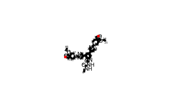 CCNC(=O)Nc1nc2cc(-c3cnc(N4CCC(CC)(C(=O)OCC)CC4)nc3)cc(-c3cnc(N4CCC(CC)(C(=O)OCC)CC4)nc3)c2o1